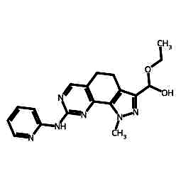 CCOC(O)c1nn(C)c2c1CCc1cnc(Nc3ccccn3)nc1-2